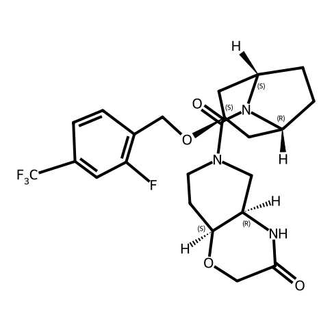 O=C1CO[C@H]2CCN(C(=O)N3[C@@H]4CC[C@H]3C[C@H](OCc3ccc(C(F)(F)F)cc3F)C4)C[C@H]2N1